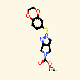 CC(C)(C)OC(=O)N1Cc2cn(Sc3ccc4c(c3)OCCO4)nc2C1